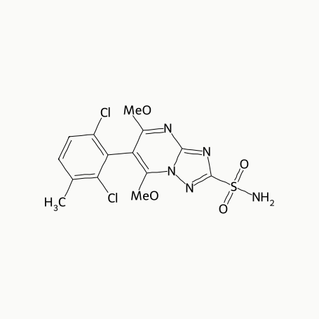 COc1nc2nc(S(N)(=O)=O)nn2c(OC)c1-c1c(Cl)ccc(C)c1Cl